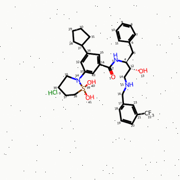 Cl.O=C(N[C@@H](Cc1ccccc1)[C@H](O)CNCc1cccc(C(F)(F)F)c1)c1cc(C2CCCC2)cc(N2CCCCS2(O)O)c1